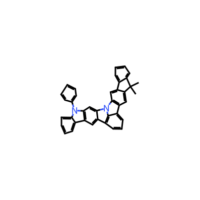 CC1(C)c2ccccc2-c2cc3c(cc21)c1cccc2c4cc5c6ccccc6n(-c6ccccc6)c5cc4n3c12